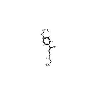 CCOCOC(=O)c1ccc(OC)cc1